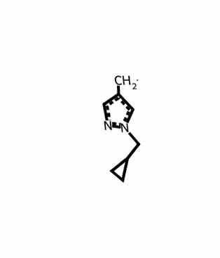 [CH2]c1cnn(CC2CC2)c1